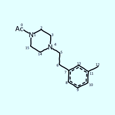 CC(=O)N1CCN(CCc2cccc(C)c2)CC1